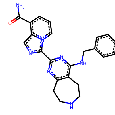 NC(=O)c1cccn2c(-c3nc4c(c(NCc5ccccc5)n3)CCNCC4)ncc12